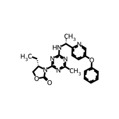 CC[C@H]1COC(=O)N1c1nc(C)nc(N[C@H](C)c2ccc(Oc3ccccc3)cn2)n1